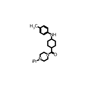 Cc1ccc(NC2CCC(C(=O)N3CCN(C(C)C)CC3)CC2)cc1